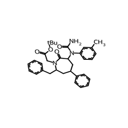 Cc1cccc(N(C(N)=O)C2CC(c3ccccc3)CC(Cc3ccccc3)N(CC(=O)OC(C)(C)C)C2=O)c1